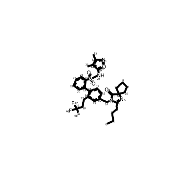 CCCCC1=NC2(CCCC2)C(=O)N1Cc1ccc(-c2ccccc2S(=O)(=O)Nc2onc(C)c2C)c(CCC(F)(F)F)c1